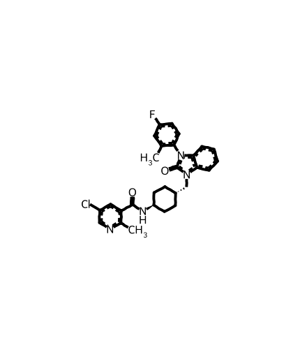 Cc1cc(F)ccc1-n1c(=O)n(C[C@H]2CC[C@H](NC(=O)c3cc(Cl)cnc3C)CC2)c2ccccc21